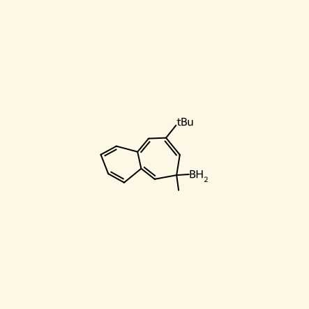 BC1(C)C=C(C(C)(C)C)C=c2ccccc2=C1